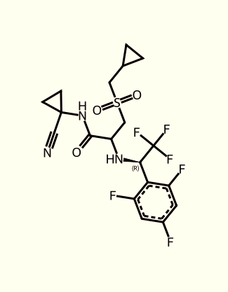 N#CC1(NC(=O)C(CS(=O)(=O)CC2CC2)N[C@H](c2c(F)cc(F)cc2F)C(F)(F)F)CC1